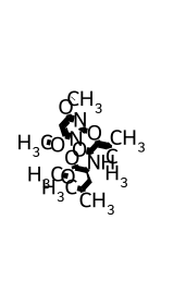 COC(=O)[C@H](CC(C)C)NC(=O)C(Oc1nc(OC)cc(OC)n1)=C(C)C